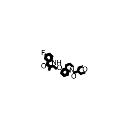 Cc1c(COc2cccc3c2CCCN3C(=O)C2CCOCC2)[nH]c2ccc(F)cc2c1=O